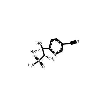 C[C@H]([C@@](C)(O)c1ccc(C#N)cn1)S(N)(=O)=O